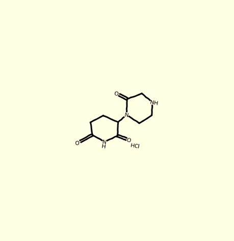 Cl.O=C1CCC(N2CCNCC2=O)C(=O)N1